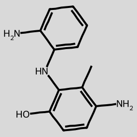 Cc1c(N)ccc(O)c1Nc1ccccc1N